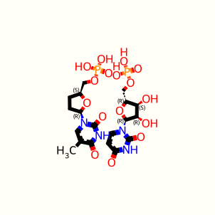 Cc1cn([C@H]2CC[C@@H](COP(=O)(O)O)O2)c(=O)[nH]c1=O.O=c1ccn([C@@H]2O[C@H](COP(=O)(O)O)[C@@H](O)[C@H]2O)c(=O)[nH]1